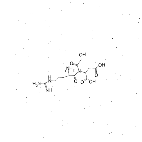 N=C(N)NCCCC(N)C(=O)N(C(=O)CO)C(CC(=O)O)C(=O)O